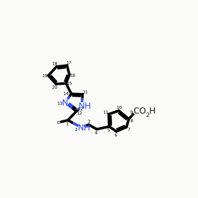 CC(NCCc1ccc(C(=O)O)cc1)c1nc(-c2ccccc2)c[nH]1